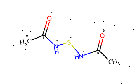 CC(=O)NSNC(C)=O